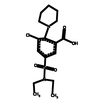 CCN(CC)S(=O)(=O)c1cc(Cl)c(N2CCCCC2)c(C(=O)O)c1